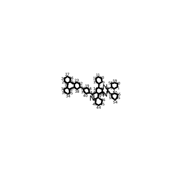 c1ccc(-c2nc3c(-c4ccccc4)cc4c(-c5ccc(-c6ccc7c8ccccc8c8ccccc8c7c6)cc5)nc5ccccc5c4c3nc2-c2ccccc2)cc1